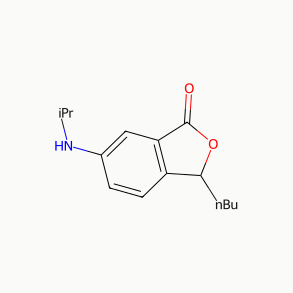 CCCCC1OC(=O)c2cc(NC(C)C)ccc21